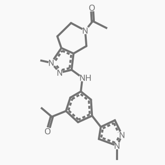 CC(=O)c1cc(Nc2nn(C)c3c2CN(C(C)=O)CC3)cc(-c2cnn(C)c2)c1